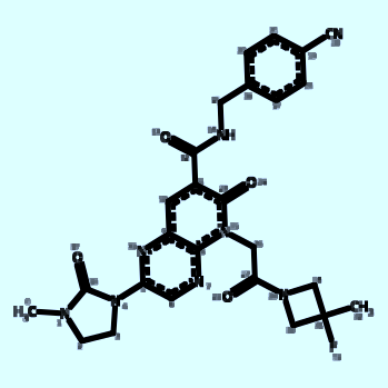 CN1CCN(c2cnc3c(cc(C(=O)NCc4ccc(C#N)cc4)c(=O)n3CC(=O)N3CC(C)(F)C3)n2)C1=O